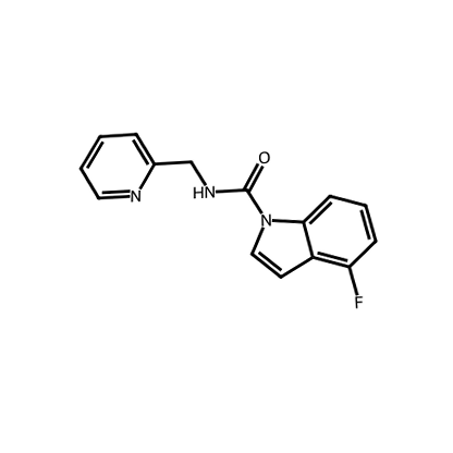 O=C(NCc1ccccn1)n1ccc2c(F)cccc21